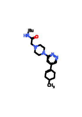 CCC(C)NC(=O)CN1CCN(c2cc(C3=CCC(C)CC3)cnn2)CC1